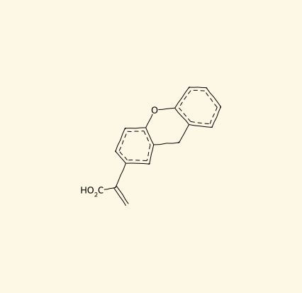 C=C(C(=O)O)c1ccc2c(c1)Cc1ccccc1O2